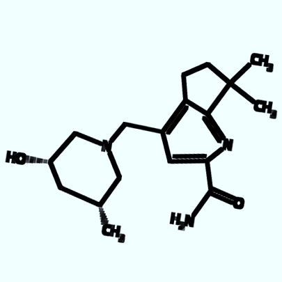 C[C@@H]1C[C@H](O)CN(Cc2cc(C(N)=O)nc3c2CCC3(C)C)C1